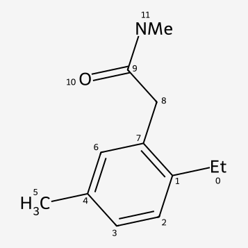 CCc1ccc(C)cc1CC(=O)NC